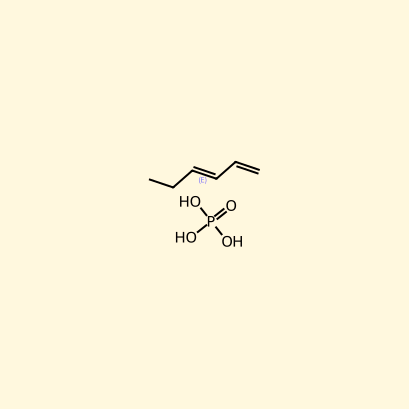 C=C/C=C/CC.O=P(O)(O)O